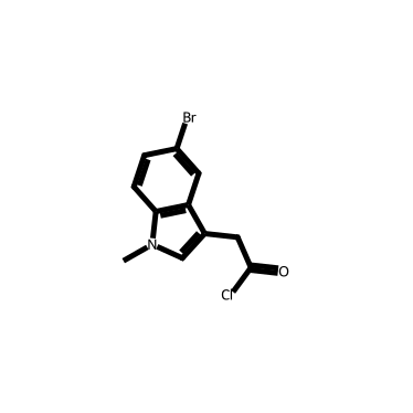 Cn1cc(CC(=O)Cl)c2cc(Br)ccc21